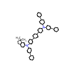 CC1(C)CCc2ccc(N(c3ccc(-c4ccccc4)cc3)c3ccc(-c4ccc(-c5ccc(N(c6ccc(-c7ccccc7)cc6)c6ccc(-c7ccccc7)cc6)cc5)cc4)cc3)cc21